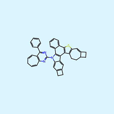 C1=Cc2nc(-n3c4cc5c(cc4c4c6c7c(sc6c6ccccc6c43)C=C3CCC3CC7)CC5)nc(-c3ccccc3)c2C=CC1